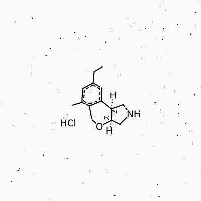 CCc1cc(C)c2c(c1)[C@H]1CNC[C@H]1OC2.Cl